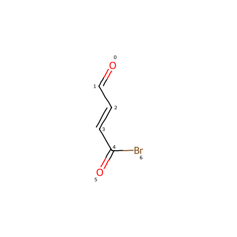 O=CC=CC(=O)Br